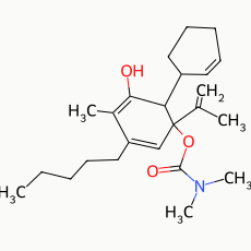 C=C(C)C1(OC(=O)N(C)C)C=C(CCCCC)C(C)=C(O)C1C1C=CCCC1